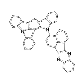 c1ccc2nc3c(nc2c1)-c1cccc2c(-n4c5ccccc5c5cc6c7ccccc7n7c8ccccc8c(c54)c67)ccc-3c12